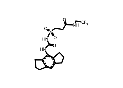 O=C(CCS(=O)(=O)NC(=O)Nc1c2c(cc3c1CCC3)CCC2)NCC(F)(F)F